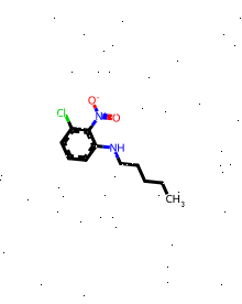 CCCCCNc1cccc(Cl)c1[N+](=O)[O-]